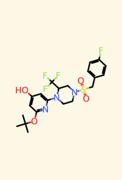 CC(C)(C)Oc1cc(O)cc(N2CCN(S(=O)(=O)Cc3ccc(F)cc3)CC2C(F)(F)F)n1